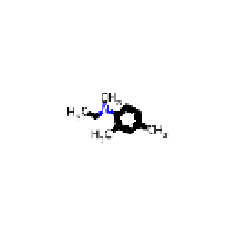 CCN(C)c1ccc(C)cc1C